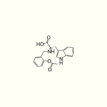 CC(=O)Oc1ccccc1CN[C@@H](Cc1c[nH]c2ccccc12)C(=O)O